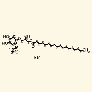 CCCCCCCCCCCCCCCCCC(=O)OCC(O)CO[C@@H]1O[C@H](CS(=O)(=O)[O-])[C@@H](O)[C@H](O)[C@H]1O.[Na+]